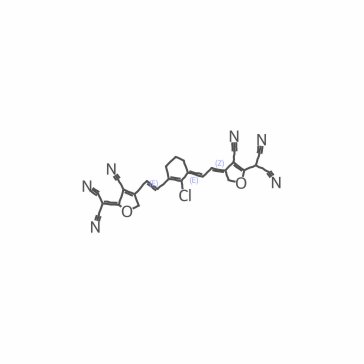 N#CC(C#N)=C1OCC(/C=C/C2=C(Cl)C(=C/C=C3\COC(C(C#N)C#N)=C3C#N)/CCC2)=C1C#N